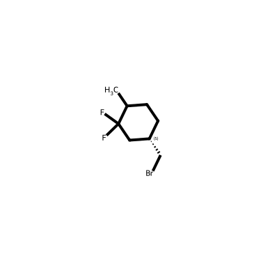 CC1CC[C@H](CBr)CC1(F)F